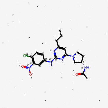 CCCc1cc(N2CC[C@H](NC(C)=O)C2)nc(Nc2ccc(Cl)c([N+](=O)[O-])c2)n1